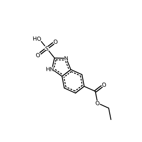 CCOC(=O)c1ccc2[nH]c(S(=O)(=O)O)nc2c1